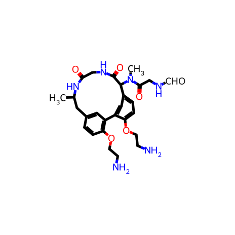 CC1Cc2ccc(OCCN)c(c2)-c2cc(ccc2OCCN)C(N(C)C(=O)CNC=O)C(=O)NCC(=O)N1